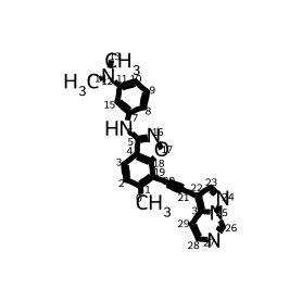 Cc1ccc2c(Nc3cccc(N(C)C)c3)noc2c1C#Cc1cnn2cnccc12